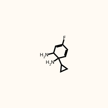 NC1C=C(F)C=CC1(N)C1CC1